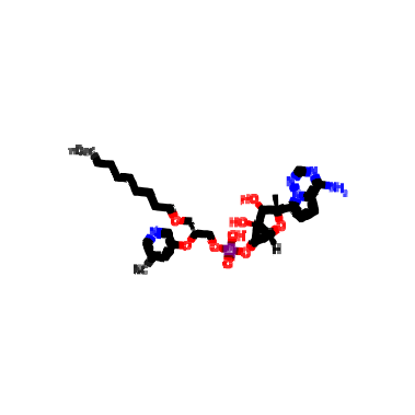 CCCCCCCCCCCCCCCCCCOC[C@H](COP(=O)(O)OC1[C@H]2O[C@@](C)(c3ccc4c(N)ncnn34)[C@H](O)[C@@]12O)Oc1cncc(C#N)c1